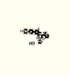 Cl.Cl.O=C(Nc1nccs1)C(c1ncn2c1CCC2)N1Cc2c(F)cc(-c3ccc(N4CCNCC4)nc3)cc2C1=O